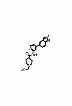 CC(C)CN1CCC(C(=O)Nc2cc(-c3ccc4nn(C)cc4c3)ccn2)CC1